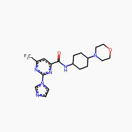 O=C(NC1CCC(N2CCOCC2)CC1)c1cc(C(F)(F)F)nc(-n2ccnc2)n1